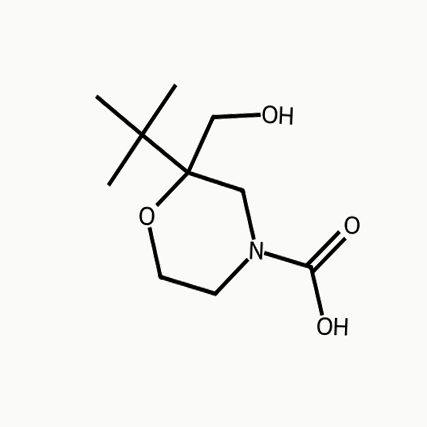 CC(C)(C)C1(CO)CN(C(=O)O)CCO1